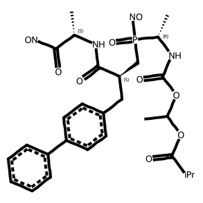 CC(OC(=O)N[C@@H](C)P(=O)(C[C@@H](Cc1ccc(-c2ccccc2)cc1)C(=O)N[C@@H](C)C(=O)N=O)N=O)OC(=O)C(C)C